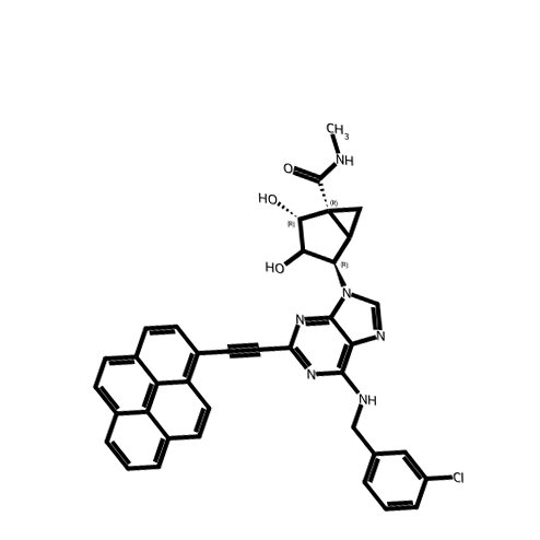 CNC(=O)[C@]12CC1[C@@H](n1cnc3c(NCc4cccc(Cl)c4)nc(C#Cc4ccc5ccc6cccc7ccc4c5c67)nc31)C(O)[C@@H]2O